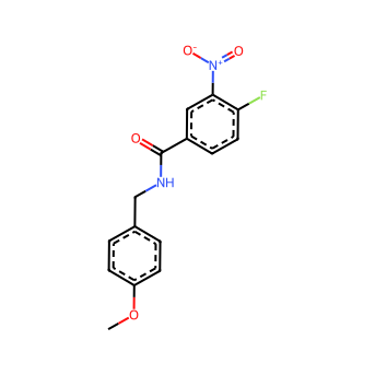 COc1ccc(CNC(=O)c2ccc(F)c([N+](=O)[O-])c2)cc1